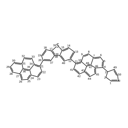 C1=CCC(c2ccc3ccc4c(-c5ccc6sc7ccc(-c8ccc9ccc%10cccc%11ccc8c9c%10%11)cc7c6c5)ccc5ccc2c3c54)C=C1